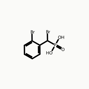 O=P(O)(O)C(Br)c1ccccc1Br